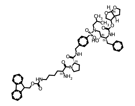 CC(C)CN(C[C@@H](O)[C@H](Cc1ccccc1)NC(=O)OC1CO[C@H]2OCC[C@@H]12)S(=O)(=O)c1ccc(CNC(=O)[C@@H]2CCCN2C(=O)[C@@H](N)CCCCNC(=O)OCC2c3ccccc3-c3ccccc32)cc1